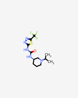 CC(C)N1CCC[C@@H](NC(=O)Nc2nnc(C(F)(F)F)s2)C1